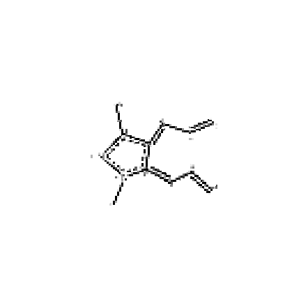 C=C/C=c1/c(C)nn(C)/c1=C/C=C